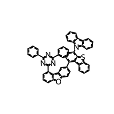 c1ccc(-c2nc(-c3ccccc3)nc(-c3cccc4oc5ccc(-c6ccc(-n7c8ccccc8c8ccccc87)c7sc8ccccc8c67)cc5c34)n2)cc1